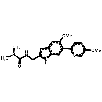 COc1cnc(-c2cc3[nH]c(CNC(=O)N(C)C)cc3cc2OC)cn1